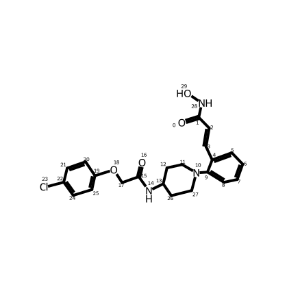 O=C(C=Cc1ccccc1N1CCC(NC(=O)COc2ccc(Cl)cc2)CC1)NO